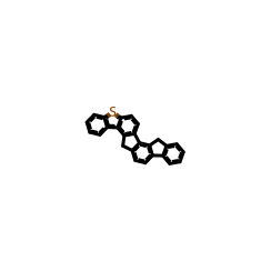 c1ccc2c(c1)Cc1c-2ccc2c1-c1ccc3sc4ccccc4c3c1C2